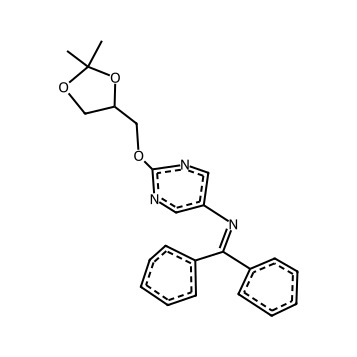 CC1(C)OCC(COc2ncc(N=C(c3ccccc3)c3ccccc3)cn2)O1